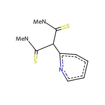 CNC(=S)C(C(=S)NC)c1ccccn1